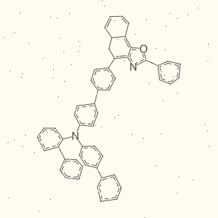 C1=CC2=c3oc(-c4ccccc4)nc3=C(c3ccc(-c4ccc(N(c5ccc(-c6ccccc6)cc5)c5ccccc5-c5ccccc5)cc4)cc3)CC2C=C1